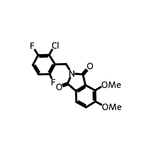 COc1ccc2c(c1OC)C(=O)N(Cc1c(F)ccc(F)c1Cl)C2=O